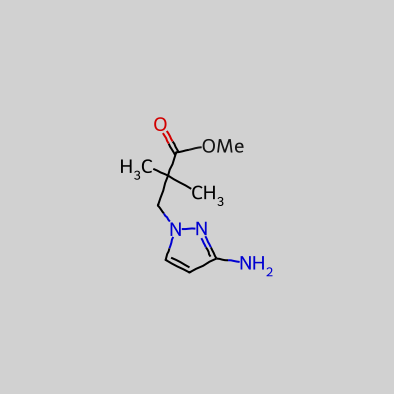 COC(=O)C(C)(C)Cn1ccc(N)n1